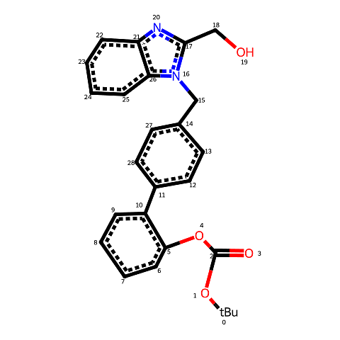 CC(C)(C)OC(=O)Oc1ccccc1-c1ccc(Cn2c(CO)nc3ccccc32)cc1